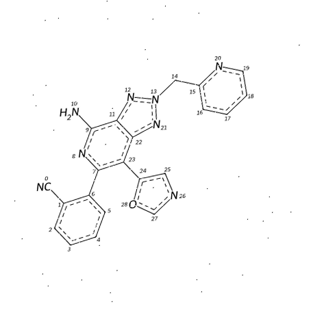 N#Cc1ccccc1-c1nc(N)c2nn(Cc3ccccn3)nc2c1-c1cnco1